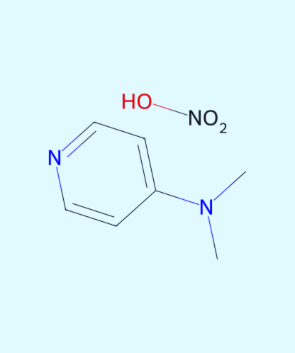 CN(C)c1ccncc1.O=[N+]([O-])O